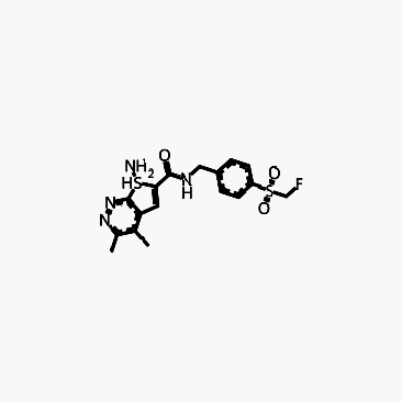 Cc1nnc2c(c1C)C=C(C(=O)NCc1ccc(S(=O)(=O)CF)cc1)[SH]2N